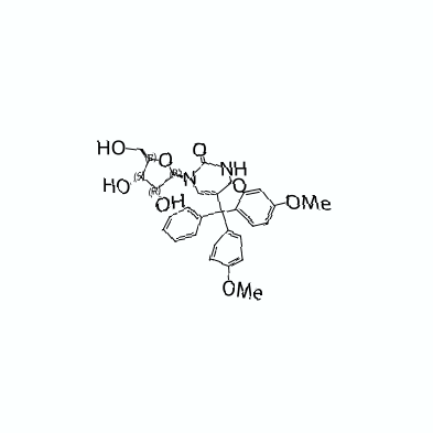 COc1ccc(C(c2ccccc2)(c2ccc(OC)cc2)c2cn([C@@H]3O[C@H](CO)[C@@H](O)[C@H]3O)c(=O)[nH]c2=O)cc1